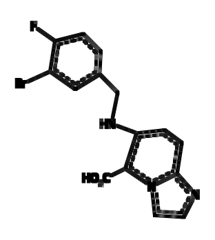 O=C(O)c1c(NCc2ccc(F)c(Br)c2)ccc2nccn12